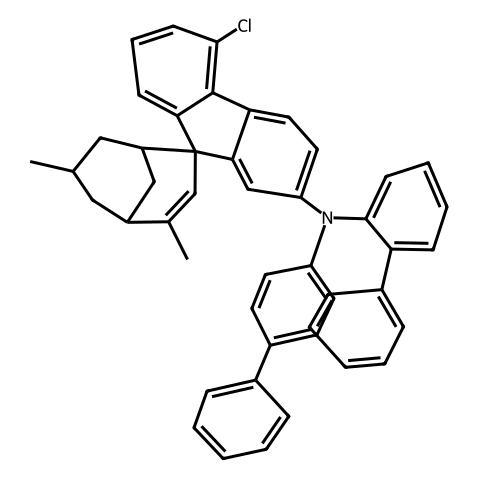 CC1=CC2(c3cc(N(c4ccc(-c5ccccc5)cc4)c4ccccc4-c4ccccc4)ccc3-c3c(Cl)cccc32)C2CC(C)CC1C2